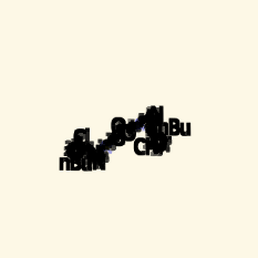 CCCCc1ncc(/C=C/COC(=O)OC/C=C/c2cnc(CCCC)n2Cc2ccccc2Cl)n1Cc1ccccc1Cl